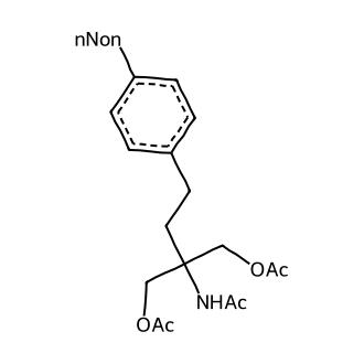 CCCCCCCCCc1ccc(CCC(COC(C)=O)(COC(C)=O)NC(C)=O)cc1